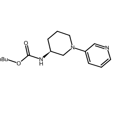 CCCCOC(=O)N[C@H]1CCCN(c2cccnc2)C1